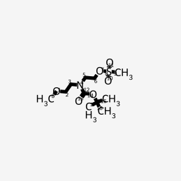 COCCN(CCOS(C)(=O)=O)C(=O)OC(C)(C)C